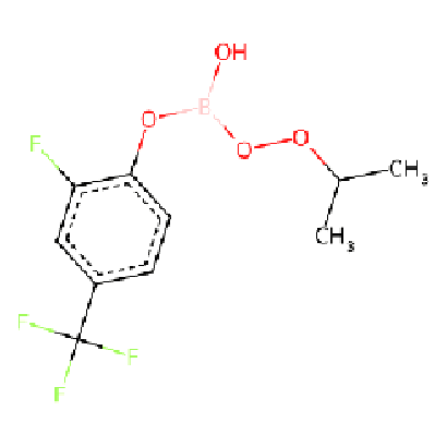 CC(C)OOB(O)Oc1ccc(C(F)(F)F)cc1F